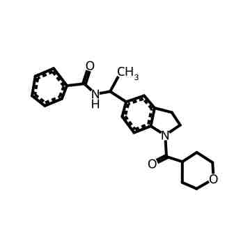 CC(NC(=O)c1ccccc1)c1ccc2c(c1)CCN2C(=O)C1CCOCC1